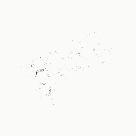 N#Cc1ccc2c(c1)c1cc3c(cc1n2-c1ccc2c(c1)C1(c4ccccc4O2)c2cc(N4c5ccccc5Oc5ccccc54)cnc2-c2ncc(-n4c5ccccc5c5ccccc54)cc21)C3